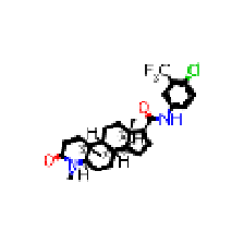 CN1C(=O)C=C[C@]2(C)[C@H]3CC[C@]4(C)[C@@H](C(=O)Nc5ccc(Cl)c(C(F)(F)F)c5)CC[C@H]4[C@@H]3CC[C@@H]12